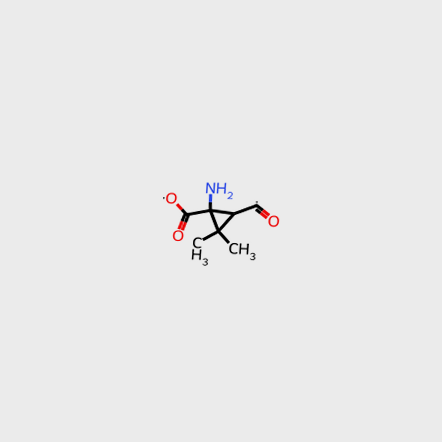 CC1(C)C([C]=O)C1(N)C([O])=O